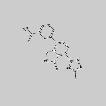 Cc1nnc(-c2ccc(-c3cccc(C(N)=O)c3)c3c2C(=O)NC3)[nH]1